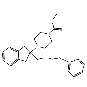 CC(C)(C)OC(=O)N1CCN(C2(COCCc3ccccc3)Cc3ccccc3C2)CC1